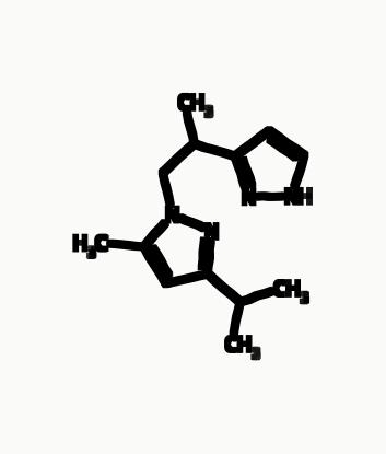 Cc1cc(C(C)C)nn1CC(C)c1cc[nH]n1